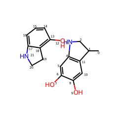 CC1CNc2cc(O)c(O)cc21.Oc1cccc2c1CCN2